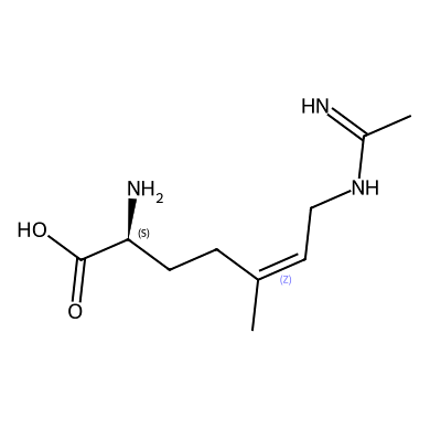 CC(=N)NC/C=C(/C)CC[C@H](N)C(=O)O